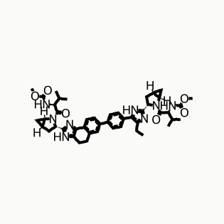 CCc1nc([C@@H]2C[C@H]3C[C@H]3N2C(=O)[C@@H](NC(=O)OC)C(C)C)[nH]c1-c1ccc(-c2ccc3c(c2)CCc2[nH]c([C@@H]4C[C@H]5C[C@H]5N4C(=O)[C@@H](NC(=O)OC)C(C)C)nc2-3)cc1